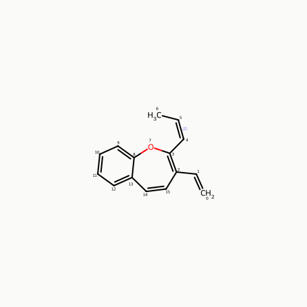 C=CC1=C(/C=C\C)Oc2ccccc2C=C1